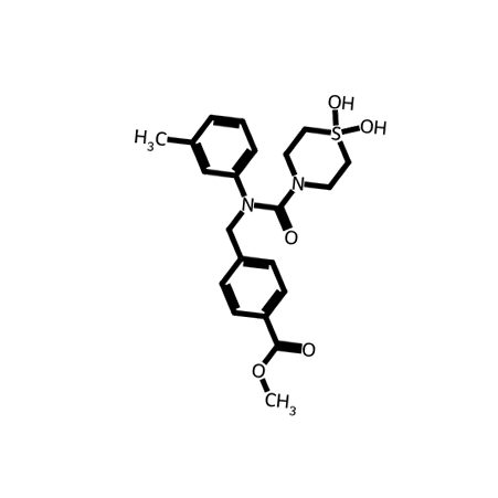 COC(=O)c1ccc(CN(C(=O)N2CCS(O)(O)CC2)c2cccc(C)c2)cc1